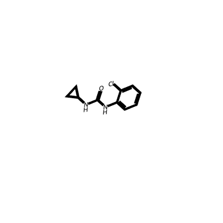 O=C(Nc1ccccc1Cl)NC1CC1